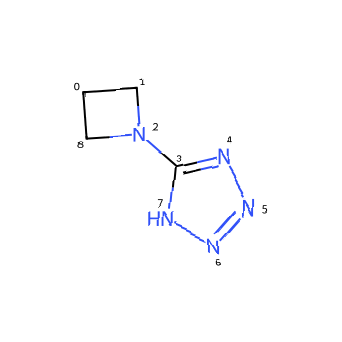 C1CN(c2nnn[nH]2)C1